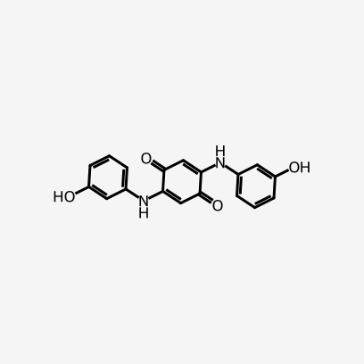 O=C1C=C(Nc2cccc(O)c2)C(=O)C=C1Nc1cccc(O)c1